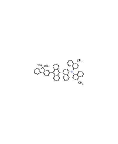 CCCCC1(CCCC)c2ccccc2-c2ccc(-c3c4ccccc4c(-c4ccc(N(c5ccc(C)c6ccccc56)c5ccc(C)c6ccccc56)c5ccccc45)c4ccccc34)cc21